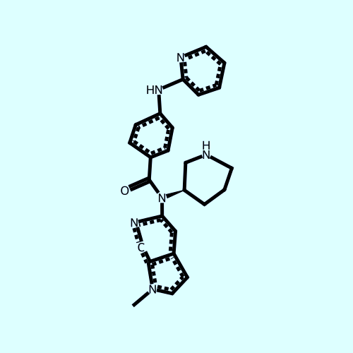 Cn1ccc2cc(N(C(=O)c3ccc(Nc4ccccn4)cc3)[C@@H]3CCCNC3)ncc21